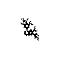 CN(C)c1cc(N2CCCc3cc(-c4cnn(C)c4)c(C(F)F)cc32)cc2c1n(C)c(=O)n2C